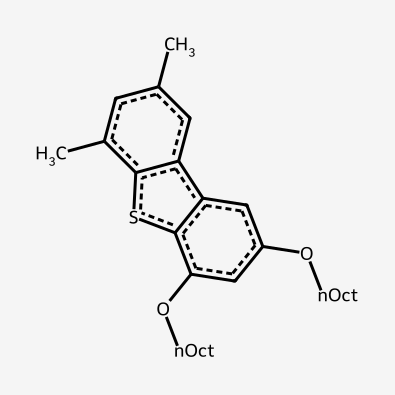 CCCCCCCCOc1cc(OCCCCCCCC)c2sc3c(C)cc(C)cc3c2c1